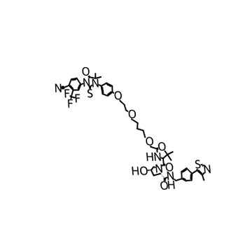 Cc1ncsc1-c1ccc(CNC(=O)[C@@H]2C[C@@H](O)CN2C(=O)C(NC(=O)COCCCCCOCCCOc2ccc(N3C(=S)N(c4ccc(C#N)c(C(F)(F)F)c4)C(=O)C3(C)C)cc2)C(C)(C)C)cc1